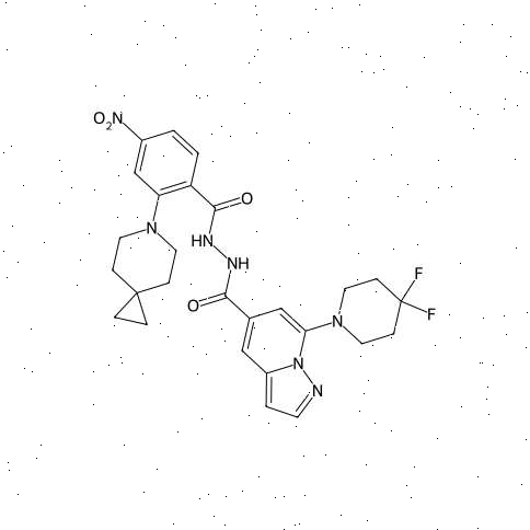 O=C(NNC(=O)c1ccc([N+](=O)[O-])cc1N1CCC2(CC1)CC2)c1cc(N2CCC(F)(F)CC2)n2nccc2c1